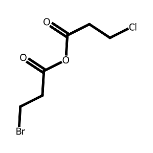 O=C(CCCl)OC(=O)CCBr